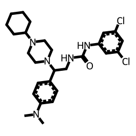 CN(C)c1ccc(C(CNC(=O)Nc2cc(Cl)cc(Cl)c2)N2CCN(C3CCCCC3)CC2)cc1